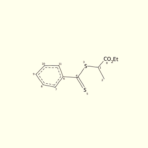 CCOC(=O)C(C)SC(=S)c1ccccc1